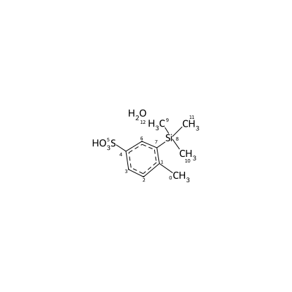 Cc1ccc(S(=O)(=O)O)cc1[Si](C)(C)C.O